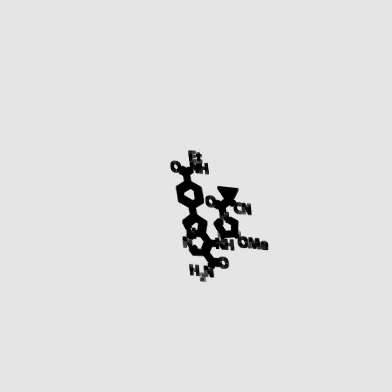 CCNC(=O)c1ccc(-c2cc3c(N[C@@H]4CN(C(=O)C5(C#N)CC5)C[C@H]4OC)c(C(N)=O)cnn3c2)cc1